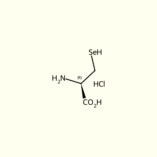 Cl.N[C@@H](C[SeH])C(=O)O